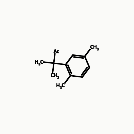 CC(=O)C(C)(C)c1cc(C)ccc1C